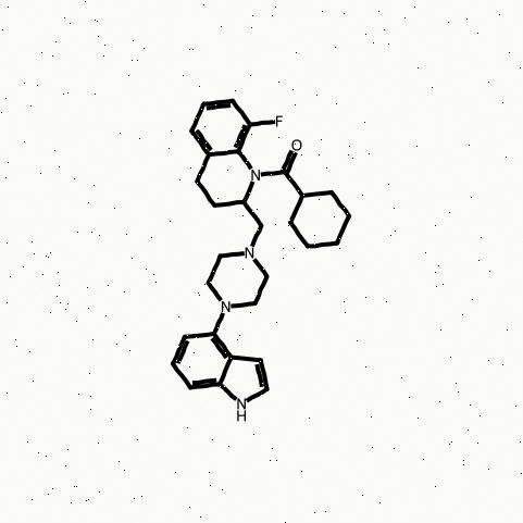 O=C(C1CCCCC1)N1c2c(F)cccc2CCC1CN1CCN(c2cccc3[nH]ccc23)CC1